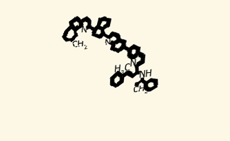 C=CC(NC(/C=C(\C)c1ccccc1)c1ccc2ccc(-c3ccc4nc(-c5ccc(-c6ccc7ccc8c(c7n6)CC(=C)CC=C8)c6ccccc56)ccc4c3)cc2n1)c1ccccc1